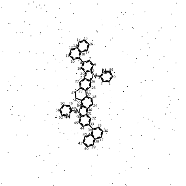 c1ccc(-n2c3ccc(-c4cccc5ccccc45)cc3c3cc4c(cc32)-c2ccc3c5cc(-c6cccc7ccccc67)ccc5n(-c5ccccn5)c3c2CC4)nc1